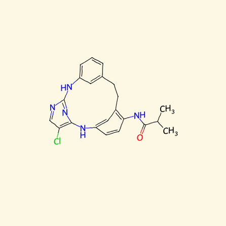 CC(C)C(=O)Nc1ccc2cc1CCc1cccc(c1)Nc1ncc(Cl)c(n1)N2